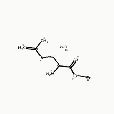 C=C(C)SCC(N)C(=O)OC(C)C.Cl